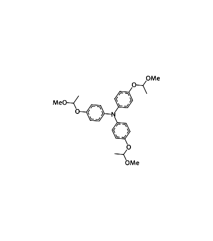 COC(C)Oc1ccc(N(c2ccc(OC(C)OC)cc2)c2ccc(OC(C)OC)cc2)cc1